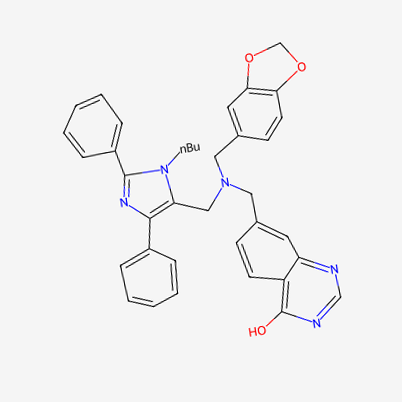 CCCCn1c(-c2ccccc2)nc(-c2ccccc2)c1CN(Cc1ccc2c(c1)OCO2)Cc1ccc2c(O)ncnc2c1